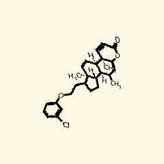 CC1CC2OC(=O)C=C[C@]2(C)[C@@H]2CC[C@]3(C)C(CCOc4cccc(Cl)c4)CC[C@H]3[C@H]12